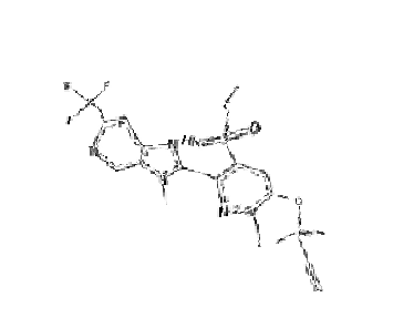 CCS(=N)(=O)c1cc(OC(C)(C)C#N)c(C)nc1-c1nc2cc(C(F)(F)F)ncc2n1C